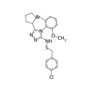 COc1cccc(Br)c1-n1c(NSCc2ccc(Cl)cc2)nnc1C1CCCC1